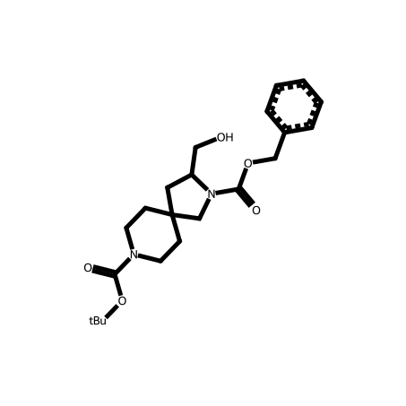 CC(C)(C)OC(=O)N1CCC2(CC1)CC(CO)N(C(=O)OCc1ccccc1)C2